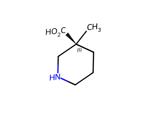 C[C@]1(C(=O)O)CCCNC1